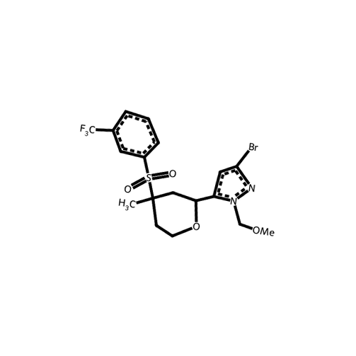 COCn1nc(Br)cc1C1CC(C)(S(=O)(=O)c2cccc(C(F)(F)F)c2)CCO1